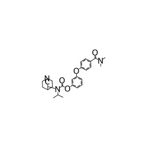 CC(C)N(C(=O)Oc1cccc(Oc2ccc(C(=O)N(C)C)cc2)c1)C1CN2CCC1CC2